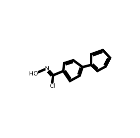 O/N=C(\Cl)c1ccc(-c2ccccc2)cc1